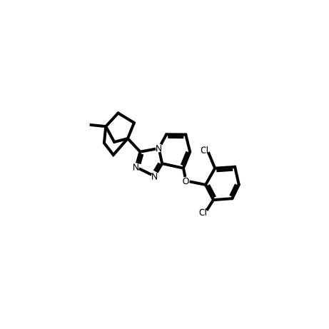 CC12CCC(c3nnc4c(Oc5c(Cl)cccc5Cl)cccn34)(CC1)C2